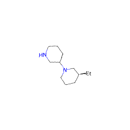 CC[C@H]1CCCN(C2CCCNC2)C1